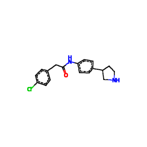 O=C(Cc1ccc(Cl)cc1)Nc1ccc(C2CCNC2)cc1